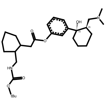 CN(C)C[C@H]1CCCC[C@@]1(O)c1cccc(OC(=O)CC2CCCCC2CNC(=O)OC(C)(C)C)c1